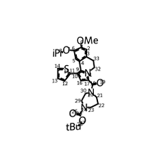 COc1cc2c(cc1OC(C)C)-c1c(-c3cccs3)cc(C(=O)N3CCCN(C(=O)OC(C)(C)C)CC3)n1CC2